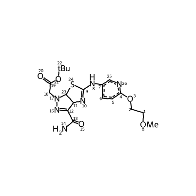 COCCOc1ccc(NC2=NC3C(C(N)=O)=NN(CC(=O)OC(C)(C)C)C3S2)cn1